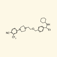 CCC(NC1CCCCC1)c1ccc(COCCN2CCN(c3ccc(C#N)c(C(F)(F)F)c3)CC2)cc1